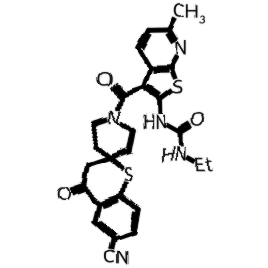 CCNC(=O)Nc1sc2nc(C)ccc2c1C(=O)N1CCC2(CC1)CC(=O)c1cc(C#N)ccc1S2